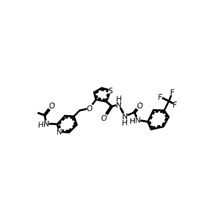 CC(=O)Nc1cc(COc2ccsc2C(=O)NNC(=O)Nc2cccc(C(F)(F)F)c2)ccn1